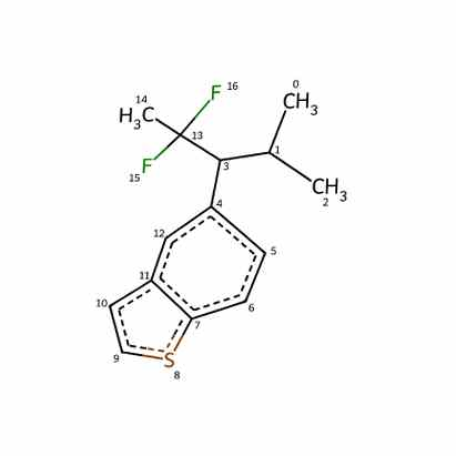 CC(C)C(c1ccc2sccc2c1)C(C)(F)F